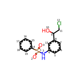 O=S(=O)(Nc1cccc(C(O)CCl)c1)c1ccccc1